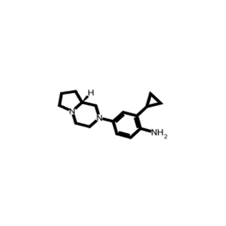 Nc1ccc(N2CCN3CCC[C@@H]3C2)cc1C1CC1